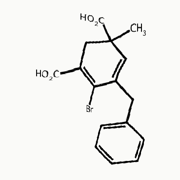 CC1(C(=O)O)C=C(Cc2ccccc2)C(Br)=C(C(=O)O)C1